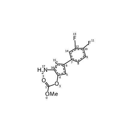 COC(=O)Oc1cc(-c2ccc(F)c(F)c2)sc1N